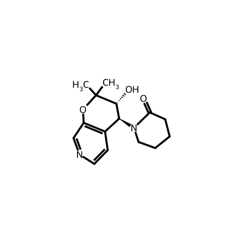 CC1(C)Oc2cnccc2[C@H](N2CCCCC2=O)[C@H]1O